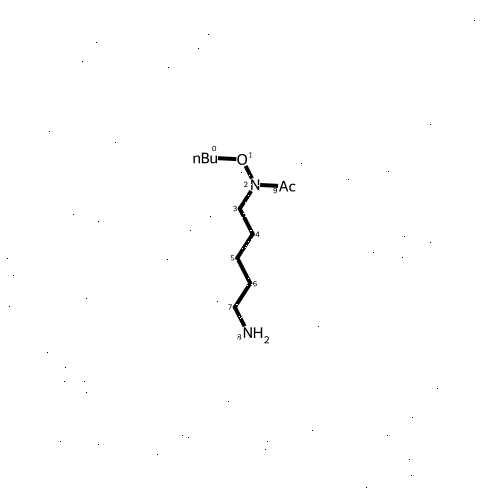 CCCCON(CCCCCN)C(C)=O